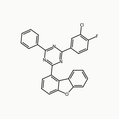 Fc1ccc(-c2nc(-c3ccccc3)nc(-c3cccc4oc5ccccc5c34)n2)cc1Cl